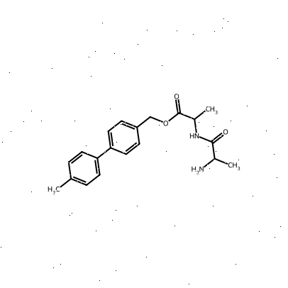 Cc1ccc(-c2ccc(COC(=O)C(C)NC(=O)C(C)N)cc2)cc1